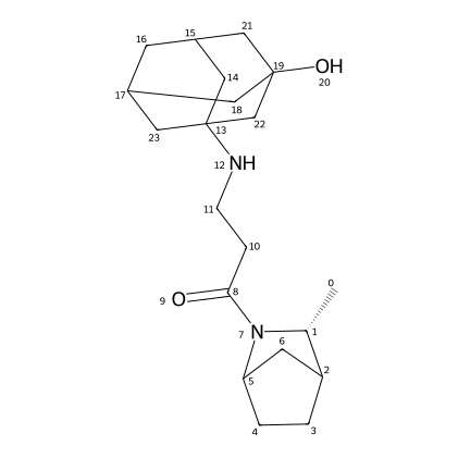 C[C@@H]1C2CCC(C2)N1C(=O)CCNC12CC3CC(CC(O)(C3)C1)C2